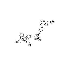 CCCC[C@H](NC(=O)C1CCC(CNC(=O)C(Cc2ccc(N(C(=O)C(=O)O)c3ccccc3C(=O)O)c(CCO)c2)NC(C)=O)CC1)C(=O)O